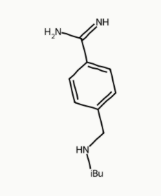 CCC(C)NCc1ccc(C(=N)N)cc1